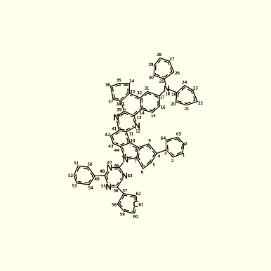 c1ccc(-c2ccc3c(c2)c2c4nc5c6ccc(N(c7ccccc7)c7ccccc7)cc6c6ccccc6c5nc4ccc2n3-c2nc(-c3ccccc3)nc(-c3ccccc3)n2)cc1